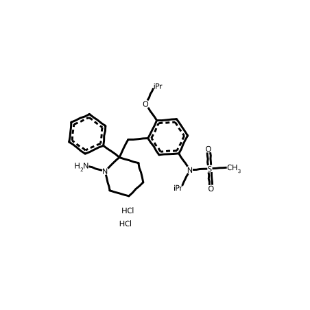 CC(C)Oc1ccc(N(C(C)C)S(C)(=O)=O)cc1CC1(c2ccccc2)CCCCN1N.Cl.Cl